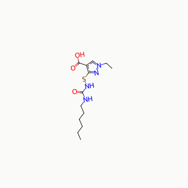 CCCCCCNC(=O)NSc1nn(CC)cc1C(=O)O